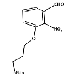 CCCCCCCCCCCCOc1cccc(C=O)c1[N+](=O)[O-]